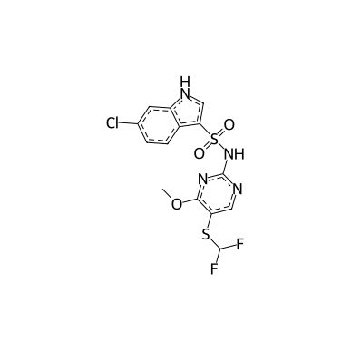 COc1nc(NS(=O)(=O)c2c[nH]c3cc(Cl)ccc23)ncc1SC(F)F